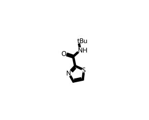 CC(C)(C)NC(=O)c1nccs1